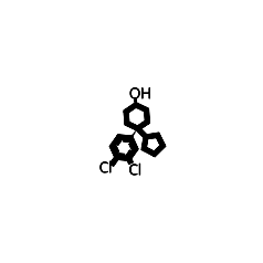 O[C@H]1CC[C@@](c2ccc(Cl)c(Cl)c2)(C2CCCC2)CC1